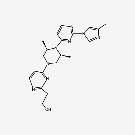 Cc1cn(-c2nccc(N3[C@H](C)CN(c4ccnc(CCO)n4)C[C@@H]3C)n2)cn1